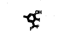 Cc1cc(O)c(I)c(C(F)F)c1